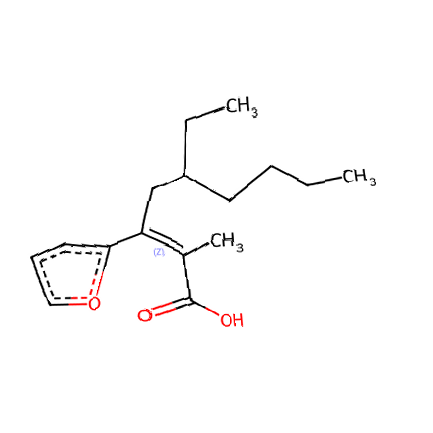 CCCCC(CC)C/C(=C(\C)C(=O)O)c1ccco1